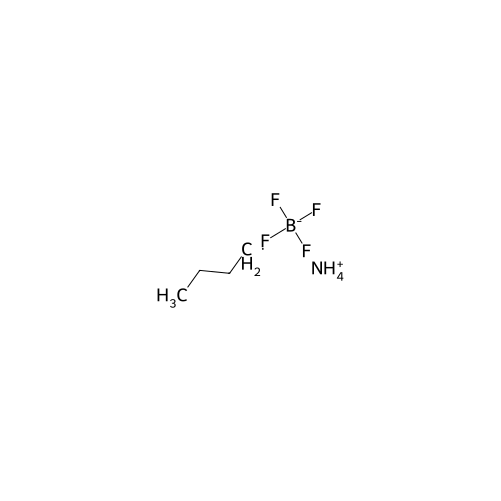 F[B-](F)(F)F.[CH2]CCC.[NH4+]